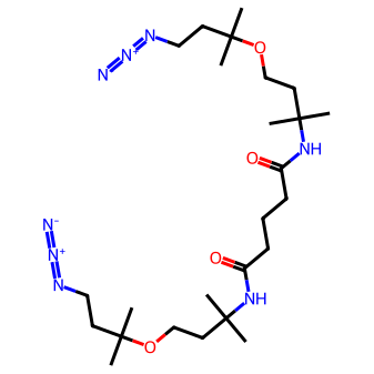 CC(C)(CCOC(C)(C)CCN=[N+]=[N-])NC(=O)CCCC(=O)NC(C)(C)CCOC(C)(C)CCN=[N+]=[N-]